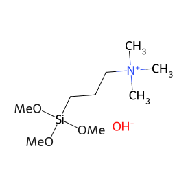 CO[Si](CCC[N+](C)(C)C)(OC)OC.[OH-]